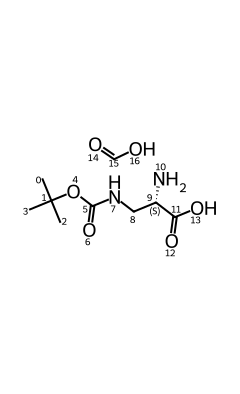 CC(C)(C)OC(=O)NC[C@H](N)C(=O)O.O=CO